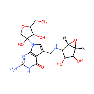 Nc1nc2c(c(CNC3[C@H](O)[C@H](O)[C@H]4O[C@@H]34)cn2C2(O)COC(CO)C2O)c(=O)[nH]1